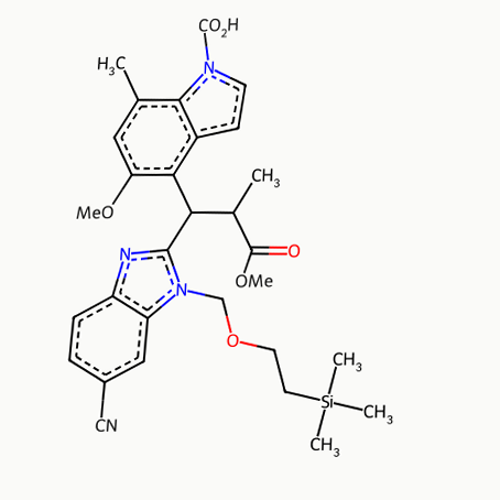 COC(=O)C(C)C(c1c(OC)cc(C)c2c1ccn2C(=O)O)c1nc2ccc(C#N)cc2n1COCC[Si](C)(C)C